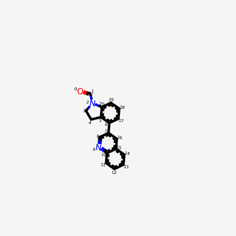 O=[C]N1CCc2c(-c3cnc4ccccc4c3)cccc21